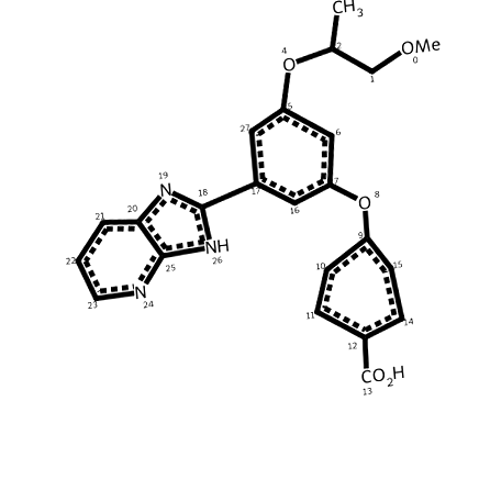 COCC(C)Oc1cc(Oc2ccc(C(=O)O)cc2)cc(-c2nc3cccnc3[nH]2)c1